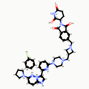 O=C1CCC(N2C(=O)c3ccc(CN4CC(CN5CCN(c6cccc(-c7cnc8ccc(N9CCC[C@@H]9c9cccc(F)c9)nn78)n6)CC5)C4)cc3C2=O)C(=O)N1